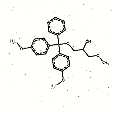 COCC(O)COC(c1ccccc1)(c1ccc(OC)cc1)c1ccc(OC)cc1